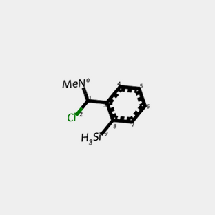 CNC(Cl)c1ccccc1[SiH3]